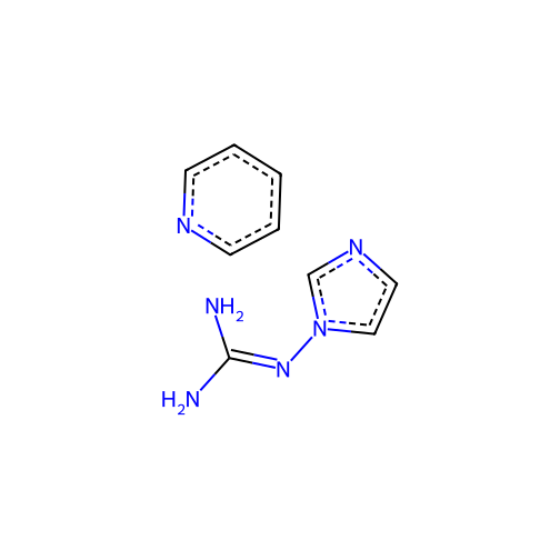 NC(N)=Nn1ccnc1.c1ccncc1